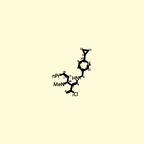 C=C(Cl)/C(=C/NCc1ccc(C2CC2)nc1)C(/C=C\CCC)NC